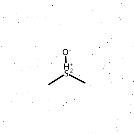 C[SH2+](C)[O-]